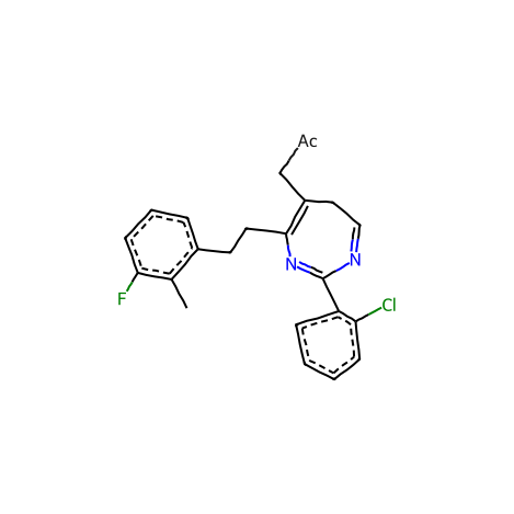 CC(=O)CC1=C(CCc2cccc(F)c2C)N=C(c2ccccc2Cl)N=CC1